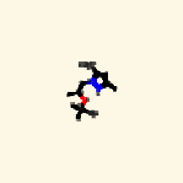 Cc1cc(C(=O)O)n(C[C@H](C)O[Si](C)(C)C(C)(C)C)n1